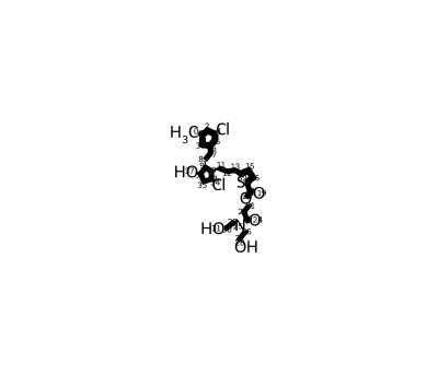 Cc1cc(Cl)cc(CC[C@@H]2[C@@H](CCCc3ccc(C(=O)OCCC(=O)N(CCO)CCO)s3)[C@H](Cl)C[C@H]2O)c1